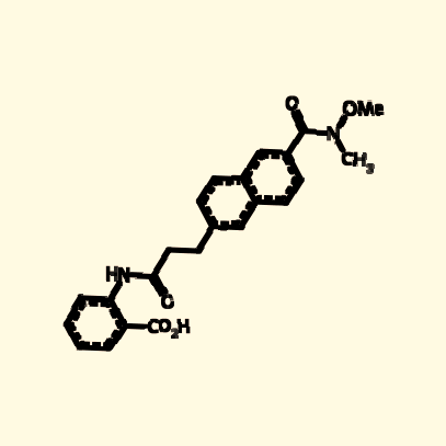 CON(C)C(=O)c1ccc2cc(CCC(=O)Nc3ccccc3C(=O)O)ccc2c1